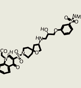 CNS(=O)(=O)c1cccc(OC[C@@H](O)CN[C@H]2COC3(CCN(S(=O)(=O)c4cn(CC(=O)O)c5ccccc5c4=O)CC3)C2)c1